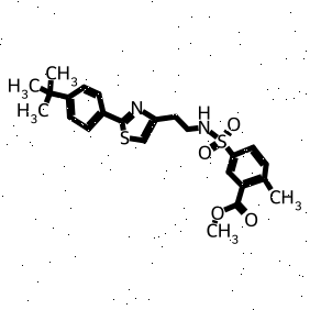 COC(=O)c1cc(S(=O)(=O)NCCc2csc(-c3ccc(C(C)(C)C)cc3)n2)ccc1C